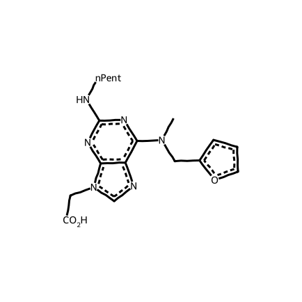 CCCCCNc1nc(N(C)Cc2ccco2)c2ncn(CC(=O)O)c2n1